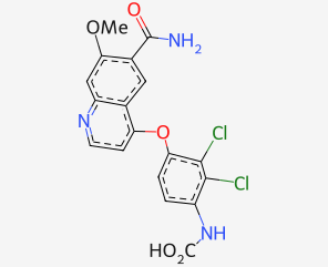 COc1cc2nccc(Oc3ccc(NC(=O)O)c(Cl)c3Cl)c2cc1C(N)=O